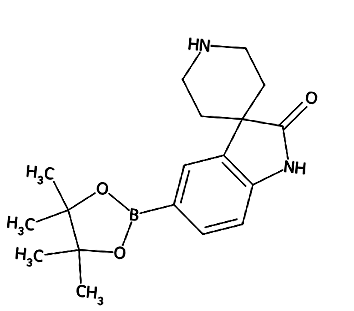 CC1(C)OB(c2ccc3c(c2)C2(CCNCC2)C(=O)N3)OC1(C)C